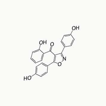 O=C(c1ccccc1O)c1c(-c2ccc(O)cc2)noc1-c1ccc(O)cc1